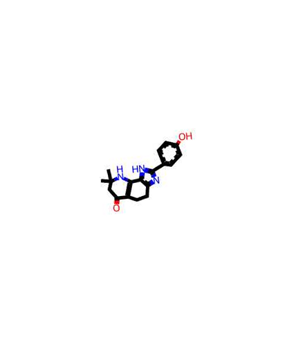 CC1(C)CC(=O)C2=C(N1)c1[nH]c(-c3ccc(O)cc3)nc1CC2